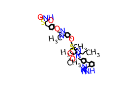 CCCc1nc(C(C)(C)SCCOc2ccc3nc(COc4ccc(CC5SC(=O)NC5=O)cc4)n(C)c3c2)c(C(=O)OCC)n1Cc1ccc(-c2ccccc2-c2nnn[nH]2)cc1